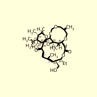 C=C1COCCC2C[C@@H](C)C(=O)/C=C/C(C)=C/[C@H](CO)[C@@H](CC)OC(=O)C[C@@H](OC1)[C@H](C)[C@H]2O[C@@H]1O[C@H](C)[C@@H](C)[C@H](N(C)C)[C@H]1C